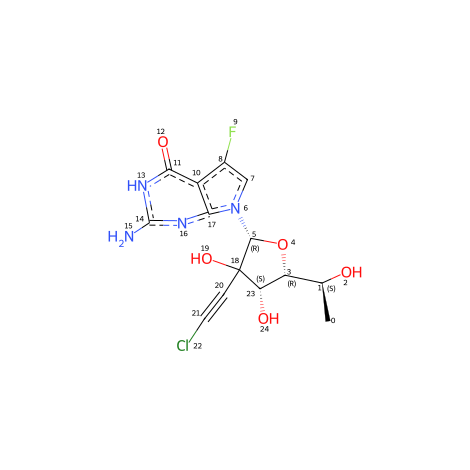 C[C@H](O)[C@H]1O[C@@H](n2cc(F)c3c(=O)[nH]c(N)nc32)C(O)(C#CCl)[C@H]1O